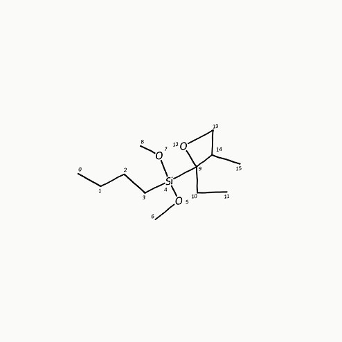 CCCC[Si](OC)(OC)C1(CC)OCC1C